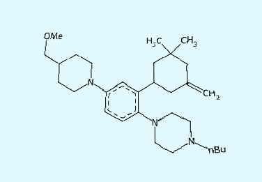 C=C1CC(c2cc(N3CCC(COC)CC3)ccc2N2CCN(CCCC)CC2)CC(C)(C)C1